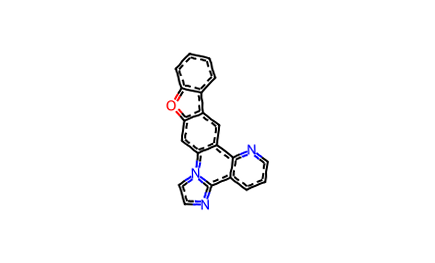 c1ccc2c(c1)oc1cc3c(cc12)c1ncccc1c1nccn31